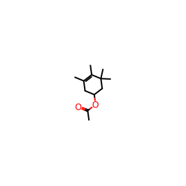 CC(=O)OC1CC(C)=C(C)C(C)(C)C1